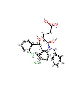 O=C(O)CC[C@@H]1O[C@H](c2ccccc2Cl)c2cc(Cl)ccc2N(Cc2ccccc2)C1=O